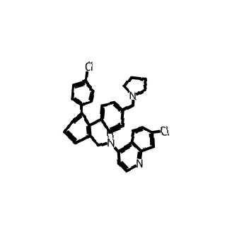 Clc1ccc(-c2cccc(CNc3ccnc4cc(Cl)ccc34)c2-c2ccc(CN3CCCC3)cc2)cc1